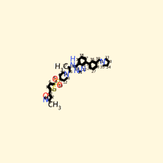 Cc1cc(-c2ccc(S(=O)(=O)C3CCN(CC(C)Nc4ncnc5c(-c6cccc(CN7CCCC7)c6)cccc45)CC3)s2)on1